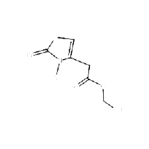 CCOC(=O)Cc1csc(=N)n1N.Cl